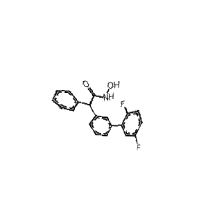 O=C(NO)C(c1ccccc1)c1cccc(-c2cc(F)ccc2F)c1